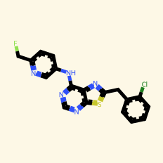 FCc1ccc(Nc2ncnc3sc(Cc4ccccc4Cl)nc23)cn1